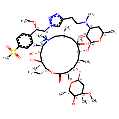 CC[C@H]1OC(=O)[C@H](C)[C@@H](O[C@H]2C[C@@](C)(OC)[C@@H](O)[C@H](C)O2)[C@H](C)[C@@H](O[C@@H]2O[C@H](C)C[C@H](N(C)CCc3cn([C@H](CF)[C@H](OC)c4ccc(S(C)(=O)=O)cc4)nn3)[C@H]2O)[C@](C)(O)C[C@@H](C)CN(C)[C@H](C)[C@@H](O)[C@]1(C)O